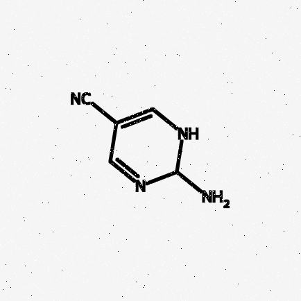 N#CC1=CNC(N)N=C1